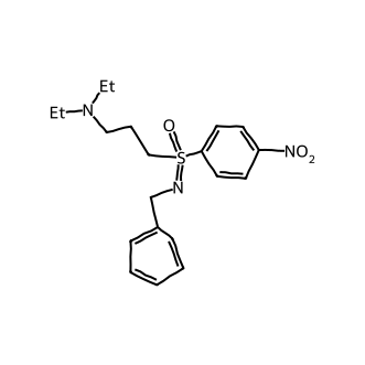 CCN(CC)CCCS(=O)(=NCc1ccccc1)c1ccc([N+](=O)[O-])cc1